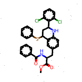 COC(=O)C(Cc1ccc2c(c1)C(Sc1ccccc1)CC(c1c(Cl)cccc1Cl)N2)NC(=O)c1ccccc1